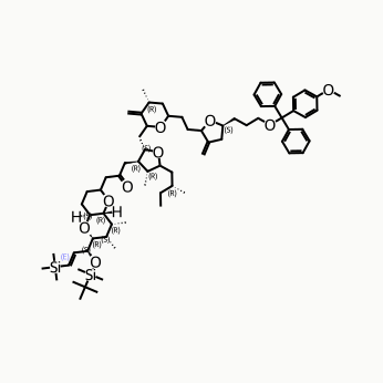 C=C1C[C@H](CCCOC(c2ccccc2)(c2ccccc2)c2ccc(OC)cc2)OC1CCC1C[C@@H](C)C(=C)C(C[C@@H]2OC(C[C@H](C)CC)[C@H](C)[C@H]2CC(=O)CC2CC[C@@H]3O[C@@H]([C@H](/C=C/[Si](C)(C)C)O[Si](C)(C)C(C)(C)C)[C@@H](C)[C@@H](C)[C@H]3O2)O1